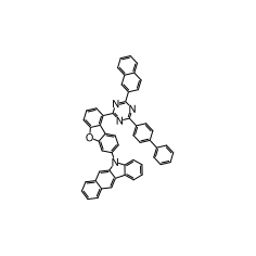 c1ccc(-c2ccc(-c3nc(-c4ccc5ccccc5c4)nc(-c4cccc5oc6cc(-n7c8ccccc8c8cc9ccccc9cc87)ccc6c45)n3)cc2)cc1